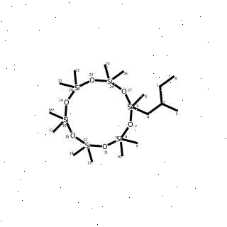 CCC(C)C[Si]1(C)O[Si](C)(C)O[Si](C)(C)O[Si](C)(C)O[Si](C)(C)O[Si](C)(C)O1